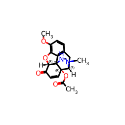 COc1ccc2c3c1O[C@H]1C(=O)C=C[C@@]4(OC(C)=O)[C@@H](C2)N(C)CN[C@]314